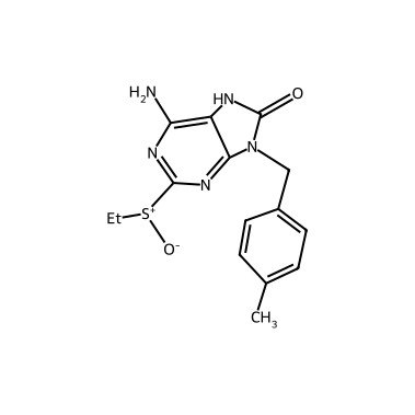 CC[S+]([O-])c1nc(N)c2[nH]c(=O)n(Cc3ccc(C)cc3)c2n1